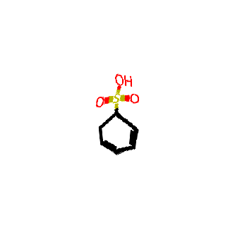 O=S(=O)(O)C1C=CC=CC1